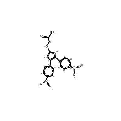 O=C(O)CSc1nc(-c2ccc([N+](=O)[O-])cc2)c(-c2ccc([N+](=O)[O-])cc2)s1